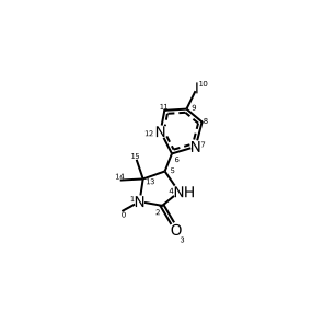 CN1C(=O)NC(c2ncc(I)cn2)C1(C)C